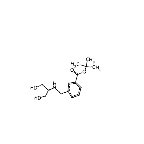 CC(C)(C)OC(=O)c1cccc(CNC(CO)CO)c1